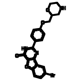 O=c1[nH]c(-c2ccc(OCC3CNCCO3)cc2)nc2c1oc1ccc(Br)cc12